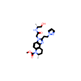 COC(=O)N1c2ccc3c(nc(CCn4cccn4)n3CC(=O)N[C@H](C)CO)c2CC[C@@H]1C